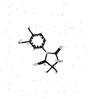 Cc1ccc(N2C(=O)NC(C)(C)C2=O)cc1Br